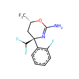 NC1=N[C@@](c2ccccc2F)(C(F)F)C[C@H](C(F)(F)F)O1